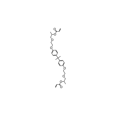 C=CC(=O)OC(C)COCCOc1ccc(C(C)(C)c2ccc(OCCOCC(C)OC(=O)C=C)cc2)cc1